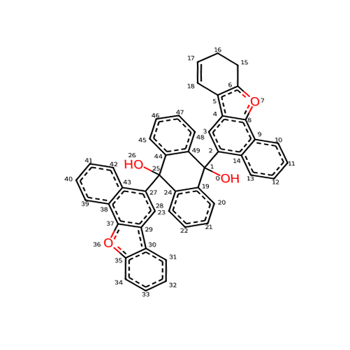 OC1(c2cc3c4c(oc3c3ccccc23)CCC=C4)c2ccccc2C(O)(c2cc3c4ccccc4oc3c3ccccc23)c2ccccc21